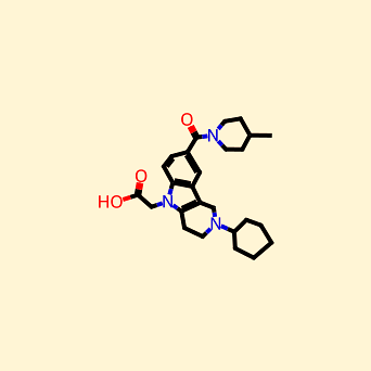 CC1CCN(C(=O)c2ccc3c(c2)c2c(n3CC(=O)O)CCN(C3CCCCC3)C2)CC1